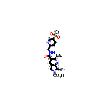 CCS(=O)(=O)c1ccc(CNC(=O)c2cc3c(nc2C(C)(C)C)C(C(C)C)N(C(=O)O)C3)nc1